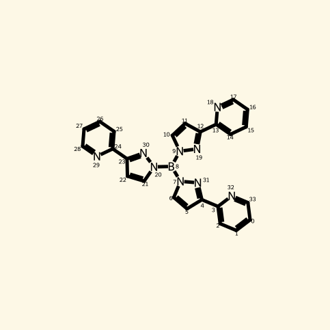 c1ccc(-c2ccn(B(n3ccc(-c4ccccn4)n3)n3ccc(-c4ccccn4)n3)n2)nc1